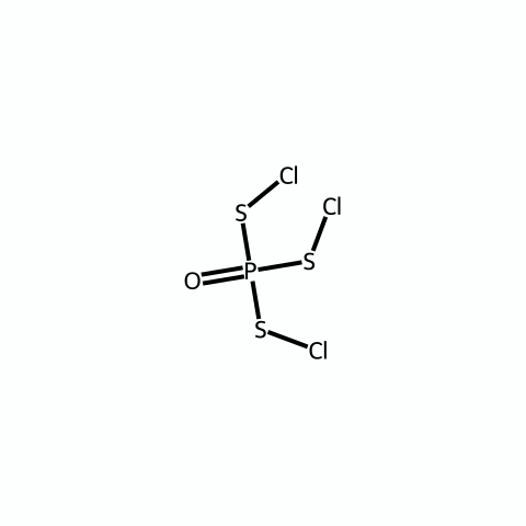 O=P(SCl)(SCl)SCl